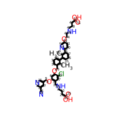 Cc1c(COc2cc(OCc3cncc(C#N)c3)c(CNCCCC(=O)O)cc2Cl)cccc1-c1cccc(-c2ccc(OCCNCCCC(=O)O)cn2)c1C